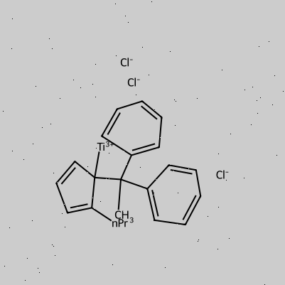 CCCC1=CC=C[C]1([Ti+3])C(C)(c1ccccc1)c1ccccc1.[Cl-].[Cl-].[Cl-]